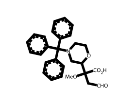 COC(CC=O)(C(=O)O)C1CN(C(c2ccccc2)(c2ccccc2)c2ccccc2)CCO1